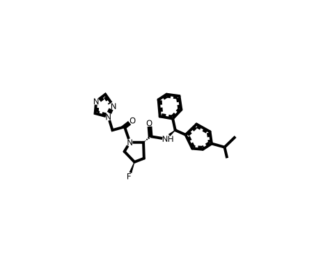 CC(C)c1ccc([C@@H](NC(=O)[C@@H]2C[C@@H](F)CN2C(=O)Cn2cncn2)c2ccccc2)cc1